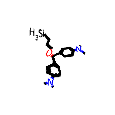 CN(C)c1ccc(C(OCCC[SiH3])c2ccc(N(C)C)cc2)cc1